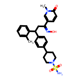 Cc1ccccc1C(CC(=NO)c1ccc(=O)n(C)c1)c1ccc(C2CCN(S(N)(=O)=O)CC2)cc1